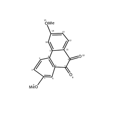 COc1ccc2c(c1)C(=O)C(=O)c1ccc(OC)cc1-2